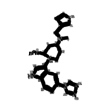 CCCC1CC(N(C)Cc2ccsc2)CCN1c1c[nH]c2ccc(-n3cnnc3)cc12